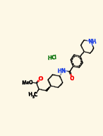 COC(=O)C(C)C[C@H]1CC[C@H](NC(=O)c2ccc(C3CCNCC3)cc2)CC1.Cl